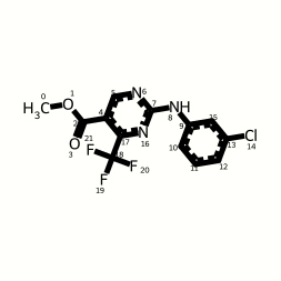 COC(=O)c1cnc(Nc2cccc(Cl)c2)nc1C(F)(F)F